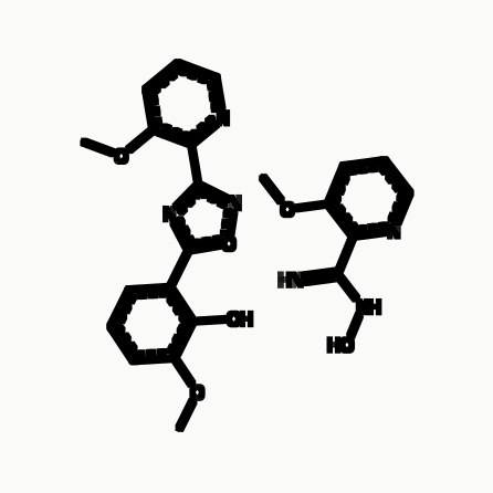 COc1cccnc1-c1noc(-c2cccc(OC)c2O)n1.COc1cccnc1C(=N)NO